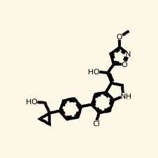 COc1cc(C(O)=C2CNc3cc(Cl)c(-c4ccc(C5(CO)CC5)cc4)cc32)on1